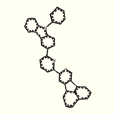 c1ccc(-n2c3ccccc3c3cc(-c4cccc(-c5cc6c(cn5)-c5cccc7cccc-6c57)n4)ccc32)cc1